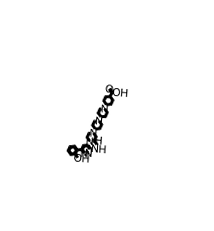 O=C(O)C1CCC(N2CCC(N3CCC(N4CCN5c6cc(-c7ccccc7O)nnc6NC[C@H]5C4)CC3)CC2)CC1